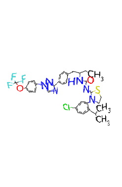 CCC(Cc1ccc(-c2ncn(-c3ccc(OC(F)(F)F)cc3)n2)cc1)NC(=O)/N=C1\SCCN1c1cc(Cl)ccc1C(C)C